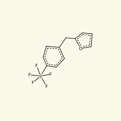 FS(F)(F)(F)(F)c1ccc(Cc2ccco2)cc1